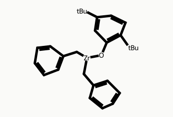 CC(C)(C)c1ccc(C(C)(C)C)c([O][Zr]([CH2]c2ccccc2)[CH2]c2ccccc2)c1